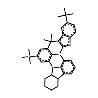 CC(C)(C)c1ccc2oc3c(c2c1)C(C)(C)c1cc([Si](C)(C)C)cc2c1B3c1cccc3c1N2C1CCCCC31